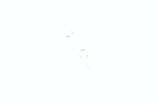 CN(C)C(=O)C1CC(c2ccc(CN3CCCC3)c(F)c2)C1